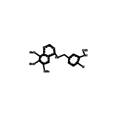 COc1cc2c(NCc3ccc(Cl)c(NC=O)c3)ncnc2c(OC)c1OC